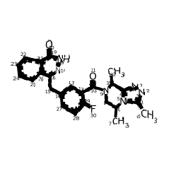 Cc1nnc2n1C(C)CN(C(=O)c1cc(Cc3n[nH]c(=O)c4ccccc34)ccc1F)C2C